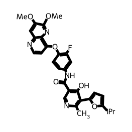 COc1cc2nccc(Oc3ccc(NC(=O)c4cnc(C)c(-c5ccc(C(C)C)o5)c4O)cc3F)c2nc1OC